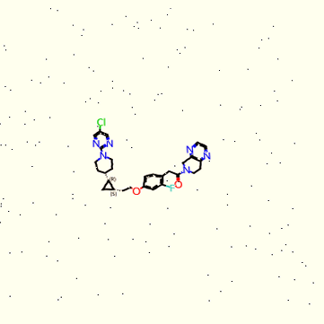 O=C(Cc1ccc(OCC[C@@H]2C[C@@H]2C2CCN(c3ncc(Cl)cn3)CC2)cc1F)N1CCc2nccnc2C1